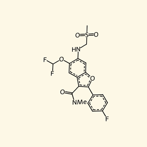 CNC(=O)c1c(-c2ccc(F)cc2)oc2cc(NCS(C)(=O)=O)c(OC(F)F)cc12